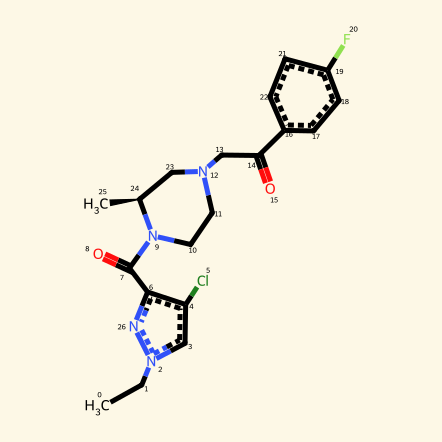 CCn1cc(Cl)c(C(=O)N2CCN(CC(=O)c3ccc(F)cc3)C[C@@H]2C)n1